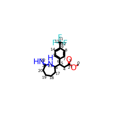 COC(=O)CC(c1ccc(C(F)(F)F)cc1)C1CCCCC(=N)N1